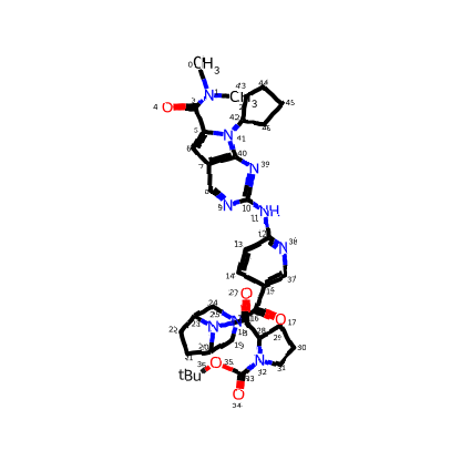 CN(C)C(=O)c1cc2cnc(Nc3ccc(C(=O)N4CC5CCC(C4)N5C(=O)C4CCCN4C(=O)OC(C)(C)C)cn3)nc2n1C1CCCC1